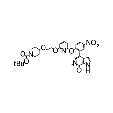 Cn1cc(-c2cc([N+](=O)[O-])ccc2Oc2cccc(OCCOC3CCN(C(=O)OC(C)(C)C)CC3)n2)c2cc[nH]c2c1=O